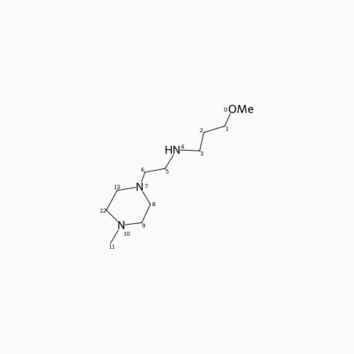 COCCCNCCN1CCN(C)CC1